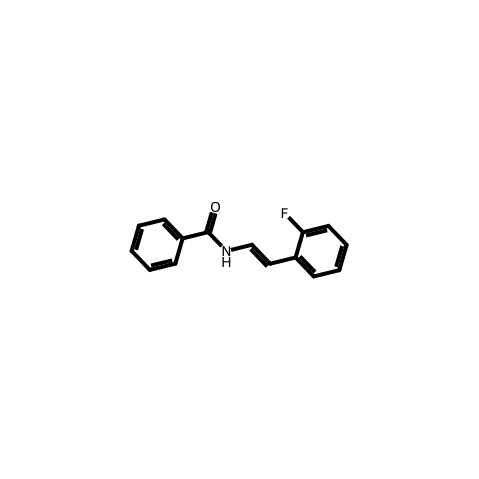 O=C(NC=Cc1ccccc1F)c1ccccc1